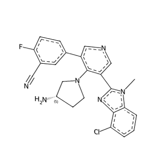 Cn1c(-c2cncc(-c3ccc(F)c(C#N)c3)c2N2CC[C@H](N)C2)nc2c(Cl)cccc21